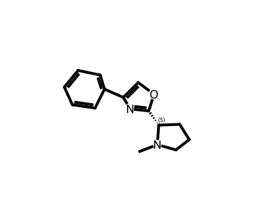 CN1CCC[C@H]1c1nc(-c2ccccc2)co1